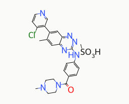 CS(=O)(=O)O.Cc1cc2nc(Nc3ccc(C(=O)N4CCN(C)CC4)cc3)nnc2cc1-c1cnccc1Cl